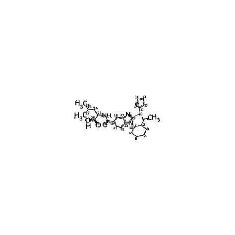 CCC1CCCC[C@@H]1n1c(Cc2cccs2)nc2cc(C(=O)NC(CC(C)C)C(=O)O)ccc21